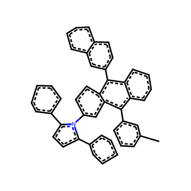 Cc1cccc(-c2c3ccccc3c(-c3ccc4ccccc4c3)c3ccc(-n4c(-c5ccccc5)ccc4-c4ccccc4)cc23)c1